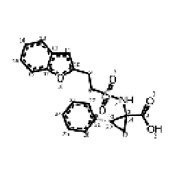 O=C(O)[C@]1(NS(=O)(=O)CCc2cc3ccccc3o2)C[C@@H]1c1ccccc1